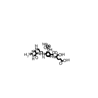 Nc1nc2c(c(=O)[nH]1)N[C@H](CNc1ccc(C(=O)NC(CCC(=O)O)C(=O)O)cc1)CN2.O=S(=O)(O)O